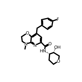 CN1CCOc2c(Cc3ccc(F)cc3)cc(C(=O)N[C@H]3CCOC[C@H]3O)nc21